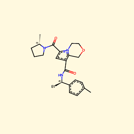 CC[C@@H](NC(=O)c1cc(C(=O)N2CCC[C@@H]2C)n2c1COCC2)c1ccc(C)cc1